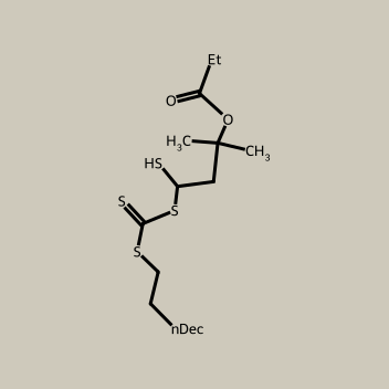 CCCCCCCCCCCCSC(=S)SC(S)CC(C)(C)OC(=O)CC